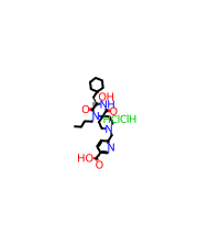 CCCCN1C(=O)[C@@H](CC2(O)CCCCC2)NC(=O)C12CCN(Cc1ccc(C(=O)O)cn1)CC2.Cl.Cl